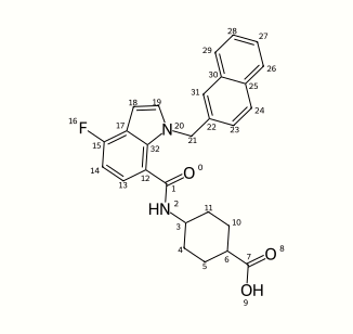 O=C(NC1CCC(C(=O)O)CC1)c1ccc(F)c2ccn(Cc3ccc4ccccc4c3)c12